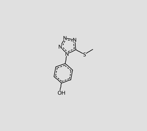 CSc1nnnn1-c1ccc(O)cc1